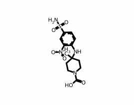 CC1(Nc2ccc(S(N)(=O)=O)cc2[N+](=O)[O-])CCN(C(=O)O)CC1